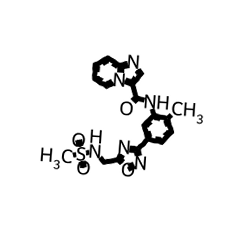 Cc1ccc(-c2noc(CNS(C)(=O)=O)n2)cc1NC(=O)c1cnc2ccccn12